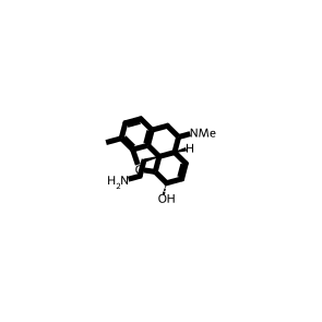 CNC1Cc2ccc(C)c3c2[C@@]2(CCN)C(O3)[C@@H](O)C=C[C@@H]12